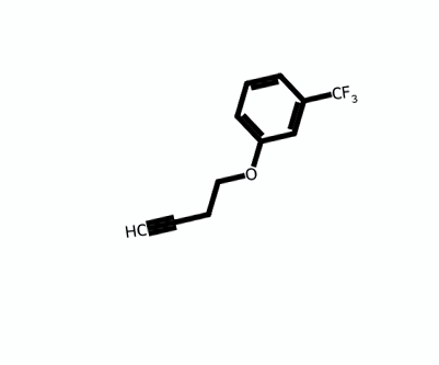 C#CCCOc1cccc(C(F)(F)F)c1